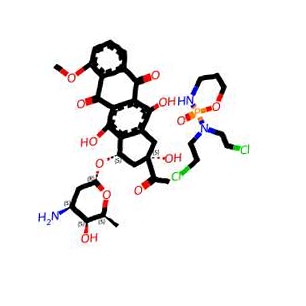 COc1cccc2c1C(=O)c1c(O)c3c(c(O)c1C2=O)C[C@@](O)(C(C)=O)C[C@@H]3O[C@H]1C[C@H](N)[C@H](O)[C@H](C)O1.O=P1(N(CCCl)CCCl)NCCCO1